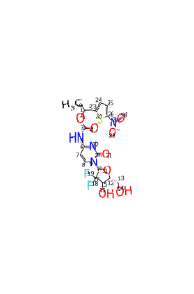 CC(OC(=O)Nc1ccn([C@@H]2O[C@H](CO)[C@@H](O)C2(F)F)c(=O)n1)c1ccc([N+](=O)[O-])s1